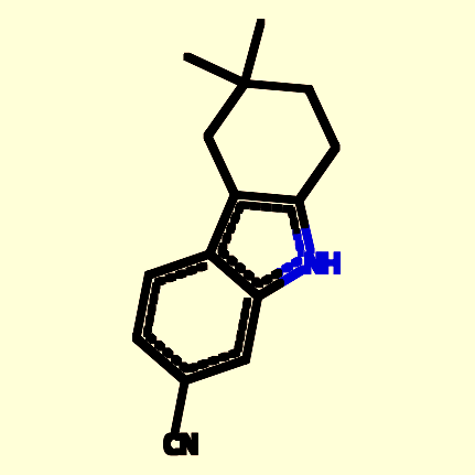 CC1(C)CCc2[nH]c3cc(C#N)ccc3c2C1